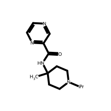 CC(C)N1CCC(C)(NC(=O)c2cnccn2)CC1